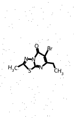 CCc1nc2sc(C)nn2c(=O)c1Br